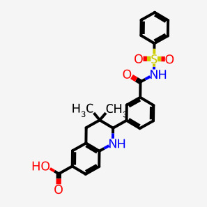 CC1(C)Cc2cc(C(=O)O)ccc2NC1c1cccc(C(=O)NS(=O)(=O)c2ccccc2)c1